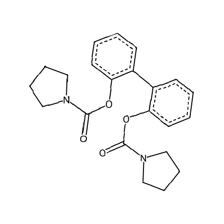 O=C(Oc1ccccc1-c1ccccc1OC(=O)N1CCCC1)N1CCCC1